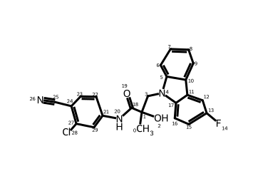 CC(O)(Cn1c2ccccc2c2cc(F)ccc21)C(=O)Nc1ccc(C#N)c(Cl)c1